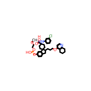 COCCOP(O)Oc1ccc2c(c1)C1(CCC(Nc3cccc(Cl)c3)(C(=O)O)CC1)C(CCCOc1ccnc3c1CCCC3)C2